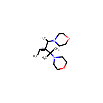 C/C=C(/C(C)N1CCOCC1)C(C)(C)N1CCOCC1